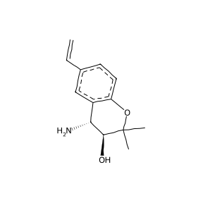 C=Cc1ccc2c(c1)[C@@H](N)[C@H](O)C(C)(C)O2